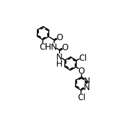 O=C(NC(=O)c1ccccc1Cl)Nc1ccc(Oc2ccc(Cl)nn2)c(Cl)c1